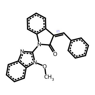 COn1c(N2C(=O)/C(=C\c3ccccc3)c3ccccc32)nc2ccccc21